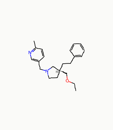 CCOC[C@@]1(CCc2ccccc2)CCN(Cc2ccc(C)nc2)C1